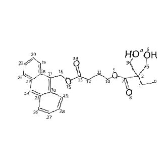 CCC(CO)(CO)C(=O)OCCCC(=O)OCc1c2ccccc2cc2ccccc12